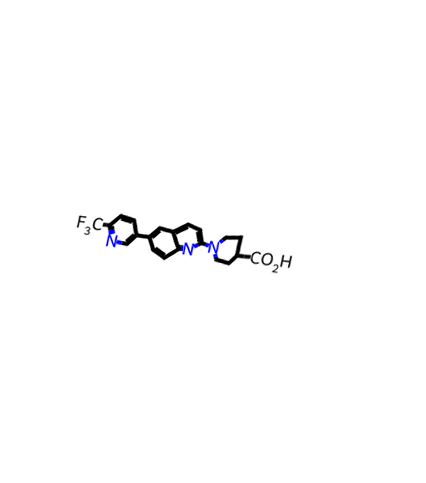 O=C(O)C1CCN(c2ccc3cc(-c4ccc(C(F)(F)F)nc4)ccc3n2)CC1